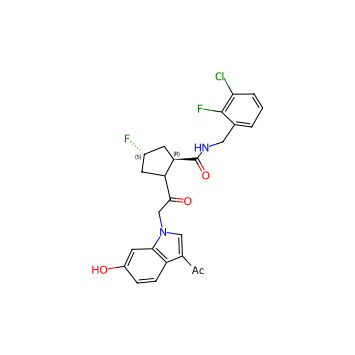 CC(=O)c1cn(CC(=O)C2C[C@H](F)C[C@H]2C(=O)NCc2cccc(Cl)c2F)c2cc(O)ccc12